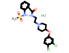 CS(=O)(=O)Nc1ccccc1C(=O)NCCN1CCC(Oc2ccc(Cl)c(Cl)c2)CC1.Cl